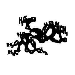 C=C(C(=O)[C@H](OC(C)=O)[C@@H](C)[C@H]1[C@@H](OC(C)=O)C[C@@]2(C)[C@@H]3[C@H]4O[C@H]4[C@H]4[C@H](C)C(=O)C=C[C@@]45C[C@@]35CC[C@]12C)[C@@H](C)CC